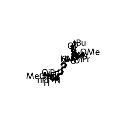 CCCN(CC1=NC[C@H]([C@H]2C=C[C@@H]([C@H]3C=C[C@@H](C(=O)CNC(=O)C4CC5(CN(C(=O)OC(C)(C)C)C5)CN4C(=O)[C@@H](NC(=O)OC)C(C)C)CC3)CC2)N1)C(=O)[C@@H](NC(=O)OC)C(C)C